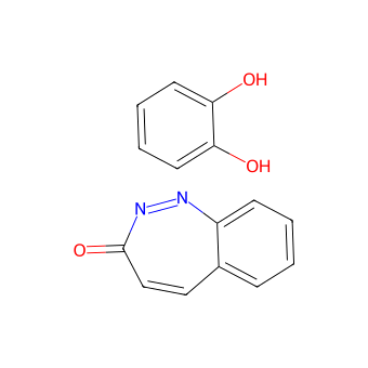 O=c1ccc2ccccc2nn1.Oc1ccccc1O